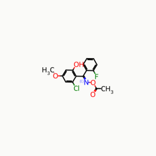 COc1cc(O)c(/C(=N/OC(C)=O)c2ccccc2F)c(Cl)c1